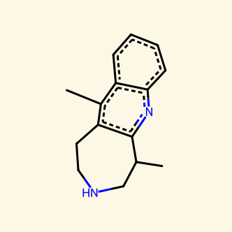 Cc1c2c(nc3ccccc13)C(C)CNCC2